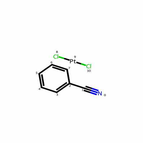 N#Cc1ccccc1.[Cl][Pt][Cl]